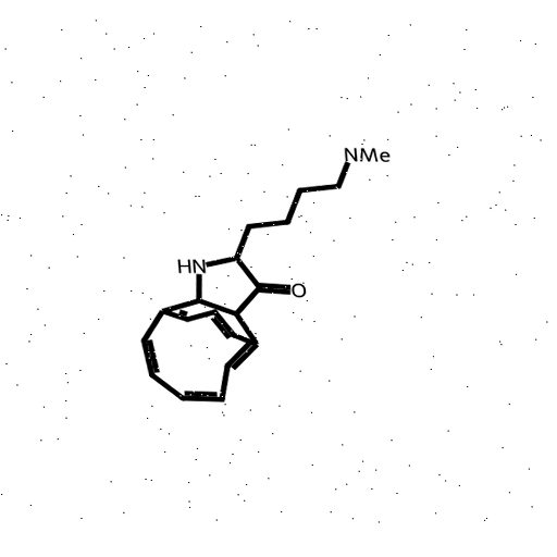 CNCCCCC1NC2C3=CC=C\C(=C/C=C\C=C/3)C2C1=O